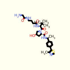 Cc1ncsc1-c1ccc([C@H](C)NC(=O)[C@@H]2C[C@@H](O)CN2C(=O)[C@@H](NC(=O)CCCNC(=O)CN)C(C)(C)C)cc1